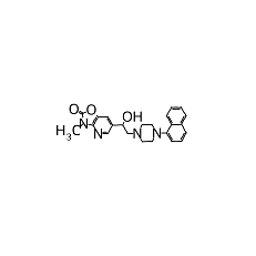 Cn1c(=O)oc2cc(C(O)CN3CCN(c4cccc5ccccc45)CC3)cnc21